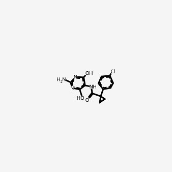 Nc1nc(O)c(NC(=O)C2(c3ccc(Cl)cc3)CC2)c(O)n1